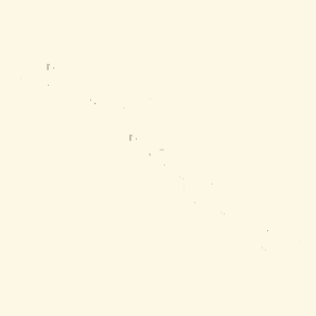 CC(C)(CNc1c([O-])[c+](NCC(C)(C)CNC2CCNC(C)(C)C2)[c+]1[O-])CNC1CCNC(C)(C)C1